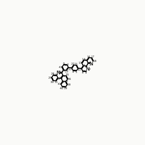 c1cc(-c2ccc(-c3ccnc4c3ccc3cccnc34)cc2)cc(-c2nc3ccccc3c3c2ccc2ccccc23)c1